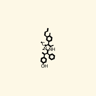 C=C=C1C(c2ccc(C)c(/C=C\C=C)c2)=C(C)N/C(=C(/C(=C)c2ccc(O)cc2)c2ccccc2)N1C